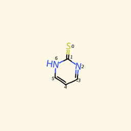 S=c1n[c]cc[nH]1